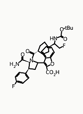 CC(C)(C)OC(=O)NC(CF)[C@H]1CC[C@H](C(=O)N2C(c3c(C(=O)O)oc4ccccc34)C[C@@H](c3ccc(F)cc3)[C@H]2C(N)=O)CC1